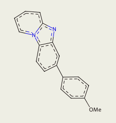 COc1ccc(-c2ccc3c(c2)nc2ccccn23)cc1